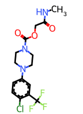 CNC(=O)COC(=O)N1CCN(c2ccc(Cl)c(C(F)(F)F)c2)CC1